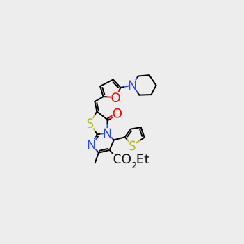 CCOC(=O)C1=C(C)N=c2s/c(=C/c3ccc(N4CCCCC4)o3)c(=O)n2C1c1cccs1